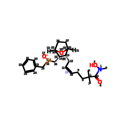 CN(O)C(=O)C(C)(C)CC/C=C\C[C@@H]1[C@H](C[S+]([O-])Cc2ccccc2)[C@@H]2CC[C@H]1O2